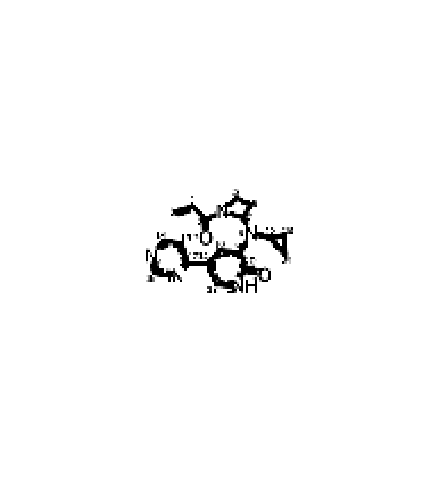 C=CC(=O)N1CCC1N(c1cc(-c2ccncn2)c[nH]c1=O)C1CC1